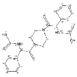 O=C(O)NC(C(=O)N1CCN(C(=O)C(NC(=O)O)c2ccccc2)CC1)c1ccccc1